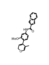 COc1cc(NC(=O)c2cc3ccccn3c2)ccc1C1=CCOC=C1C